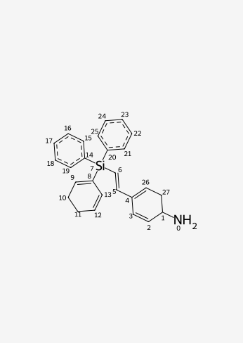 NC1C=CC(/C=C/[Si](C2=CCCC=C2)(c2ccccc2)c2ccccc2)=CC1